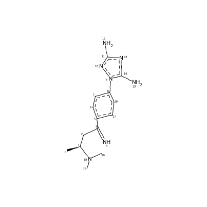 C[C@@H](CC(=N)c1ccc(-n2nc(N)nc2N)cc1)N(C)C